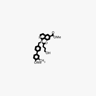 COC(=O)c1ccc2c(N(Cc3ccc(-c4ccc(OC)c(C)c4)cc3)C(=O)CCCO)nccc2c1